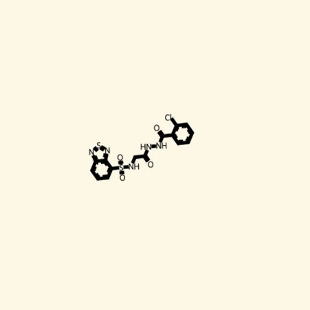 O=C(CNS(=O)(=O)c1cccc2nsnc12)NNC(=O)c1ccccc1Cl